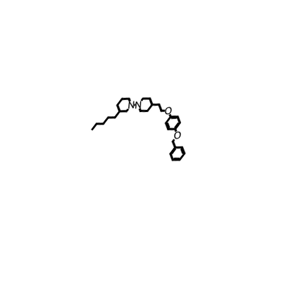 CCCCCC1CCCN(N2CCC(CCOc3ccc(OCc4ccccc4)cc3)CC2)C1